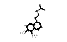 CC(=S)NCCc1cccc2c(S(=O)(=O)O)c(N)ccc12